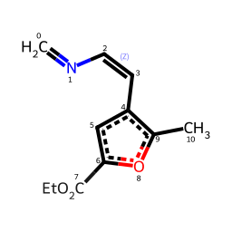 C=N/C=C\c1cc(C(=O)OCC)oc1C